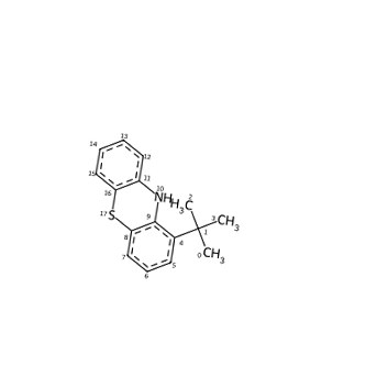 CC(C)(C)c1cccc2c1Nc1ccccc1S2